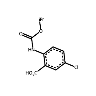 CC(C)OC(=O)Nc1ccc(Cl)cc1C(=O)O